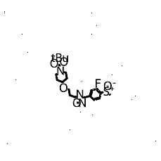 C[S+]([O-])c1ccc(-c2noc(CCOC3CCN(C(=O)OC(C)(C)C)CC3)n2)cc1F